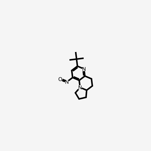 CC(C)(C)c1cc(N=O)c2c(n1)CCC1CCCN21